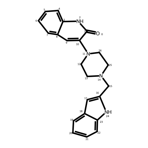 O=c1[nH]c2ccccc2cc1N1CCN(Cc2cc3ccccc3[nH]2)CC1